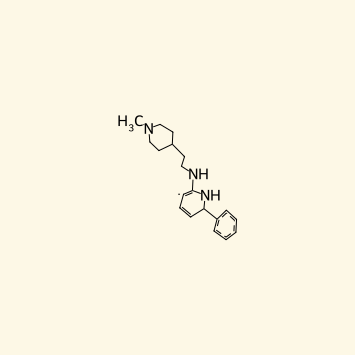 CN1CCC(CCNC2=[C]C=CC(c3ccccc3)N2)CC1